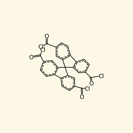 O=C(Cl)c1ccc2c(c1)C1(c3cc(C(=O)Cl)ccc3-2)c2cc(C(=O)Cl)ccc2-c2ccc(C(=O)Cl)cc21